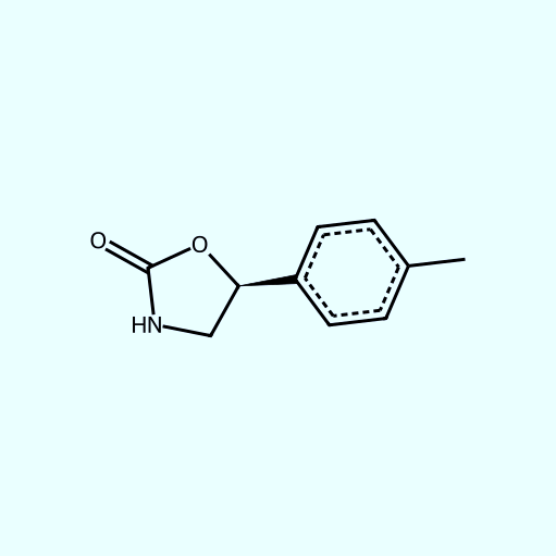 Cc1ccc([C@H]2CNC(=O)O2)cc1